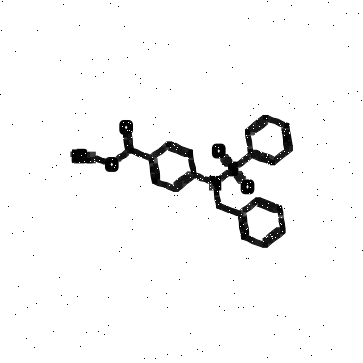 CC(C)(C)OC(=O)c1ccc(N(Cc2ccccc2)S(=O)(=O)c2ccccc2)cc1